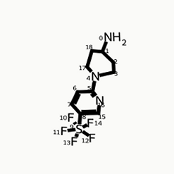 NC1CCN(c2ccc(S(F)(F)(F)(F)F)cn2)CC1